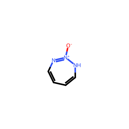 [O-][N+]1=NC=CC=CN1